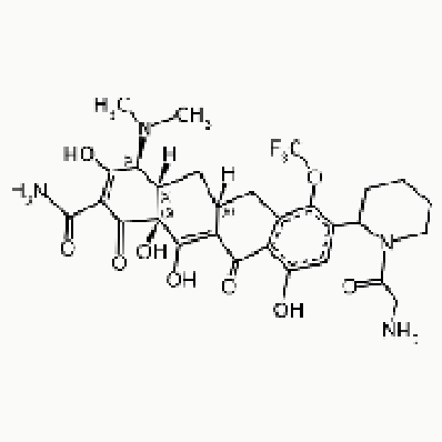 CN(C)[C@@H]1C(O)=C(C(N)=O)C(=O)[C@@]2(O)C(O)=C3C(=O)c4c(O)cc(C5CCCCN5C(=O)CN)c(OC(F)(F)F)c4C[C@H]3C[C@@H]12